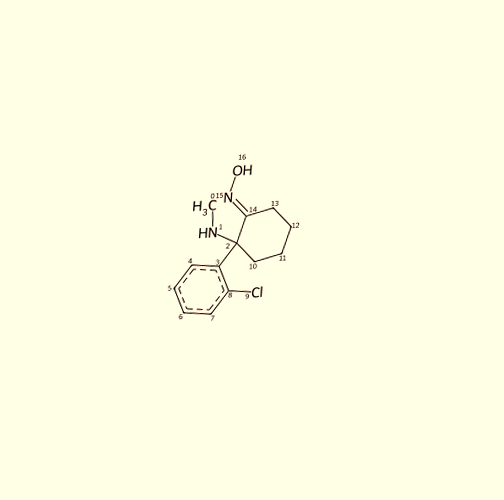 CNC1(c2ccccc2Cl)CCCCC1=NO